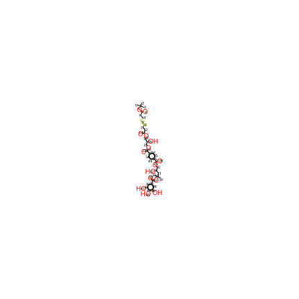 CC(C)(C)OC(=O)CCSSCCC(=O)OCC(O)COC(=O)c1ccc(C(=O)OCC(O)CC(C)(C)OC(=O)c2cc(O)c(O)c(O)c2)cc1